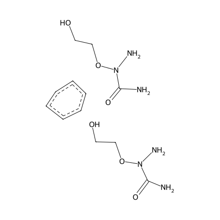 NC(=O)N(N)OCCO.NC(=O)N(N)OCCO.c1ccccc1